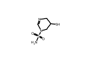 NS(=O)(=O)N1C=NCC(S)C1